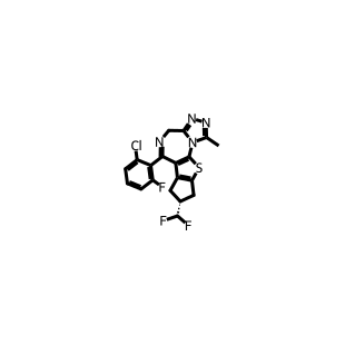 Cc1nnc2n1-c1sc3c(c1C(c1c(F)cccc1Cl)=NC2)C[C@@H](C(F)F)C3